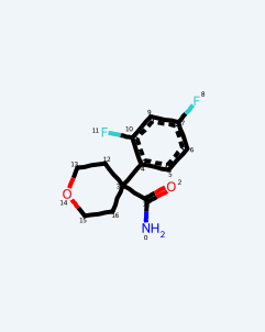 NC(=O)C1(c2ccc(F)cc2F)CCOCC1